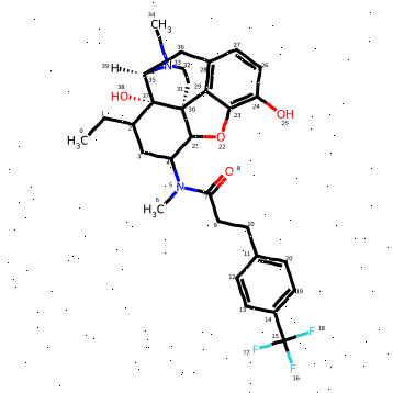 CCC1CC(N(C)C(=O)CCc2ccc(C(F)(F)F)cc2)C2Oc3c(O)ccc4c3[C@@]23CCN(C)[C@H](C4)[C@]13O